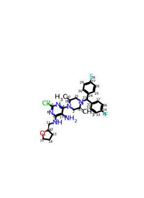 C[C@@H]1CN(c2nc(Cl)nc(NC[C@H]3CCCO3)c2N)[C@@H](C)CN1C(c1ccc(F)cc1)c1ccc(F)cc1